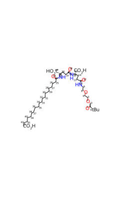 CC(C)(C)C(=O)COCCOCCNC(=O)CC[C@H](NC(=O)CC[C@H](NC(=O)CCCCCCCCCCCCCCCCCCC(=O)O)C(=O)O)C(=O)O